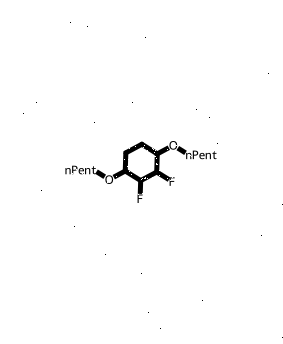 CCCCCOC1CCC(OCCCCC)C(F)C1F